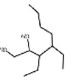 CCCCC(CC)C(CC)C(O)CO